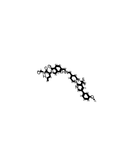 CCCC(C(=O)NC=O)N1Cc2cc(CNCC3CCN(c4ncc(-c5cccc(OC)c5)cc4C(F)(F)F)CC3)ccc2C1=O